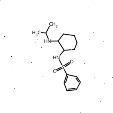 CC(C)NC1CCCCC1NS(=O)(=O)c1ccccc1